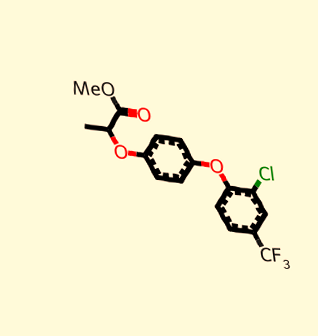 COC(=O)C(C)Oc1ccc(Oc2ccc(C(F)(F)F)cc2Cl)cc1